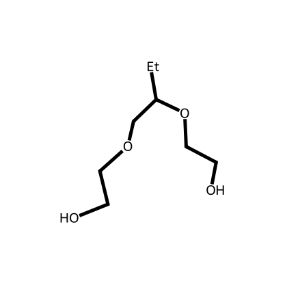 CCC(COCCO)OCCO